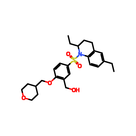 CCc1ccc2c(c1)CCC(CC)N2S(=O)(=O)c1ccc(OCC2CCOCC2)c(CO)c1